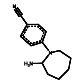 N#Cc1ccc(N2CCCCCC2N)cc1